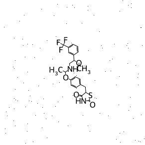 COC(CNC(C)Oc1ccc(CC2SC(=O)NC2=O)cc1)c1cccc(C(F)(F)F)c1